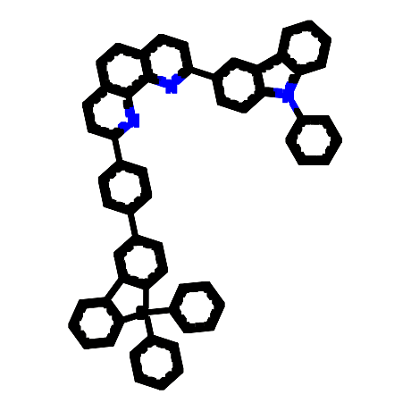 c1ccc(-n2c3ccccc3c3cc(-c4ccc5ccc6ccc(-c7ccc(-c8ccc9c(c8)-c8ccccc8[Si]9(c8ccccc8)c8ccccc8)cc7)nc6c5n4)ccc32)cc1